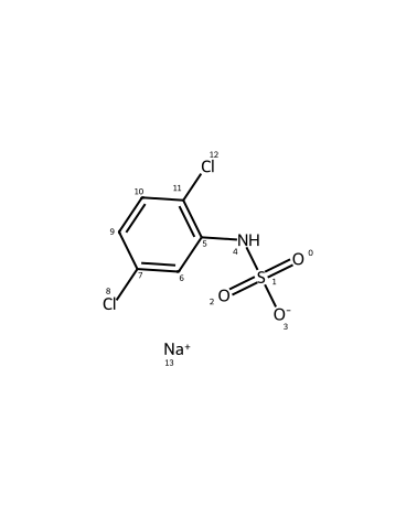 O=S(=O)([O-])Nc1cc(Cl)ccc1Cl.[Na+]